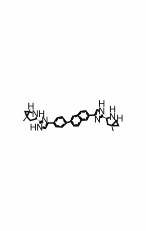 C[C@@]12C[C@@H](c3nc(-c4ccc5cc(-c6ccc(-c7c[nH]c([C@@H]8C[C@]9(C)C[C@@H]9N8)n7)cc6)ccc5c4)c[nH]3)N[C@H]1C2